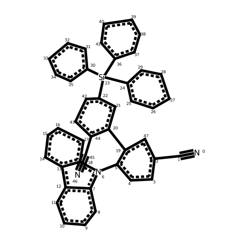 N#Cc1ccc(-n2c3ccccc3c3ccccc32)c(-c2cc([Si](c3ccccc3)(c3ccccc3)c3ccccc3)ccc2C#N)c1